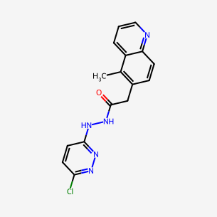 Cc1c(CC(=O)NNc2ccc(Cl)nn2)ccc2ncccc12